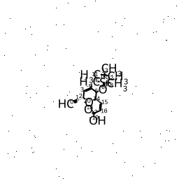 C#C[C@@H]1C=C[C@@H](O[Si](C)(C)C(C)(C)C)[C@@H](/C=C\C(=O)O)O1